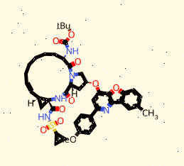 COc1ccc(-c2cc(O[C@@H]3C[C@H]4C(=O)N[C@]5(C(=O)NS(=O)(=O)C6CC6)C[C@H]5/C=C\CCCCC[C@H](NC(=O)OC(C)(C)C)C(=O)N4C3)c3oc4ccc(C)cc4c3n2)cc1